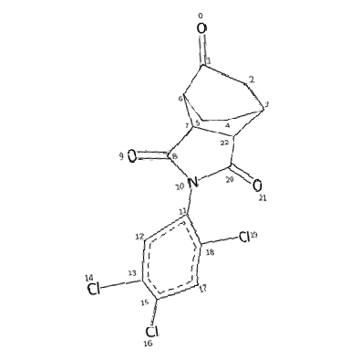 O=C1CC2CCC1C1C(=O)N(c3cc(Cl)c(Cl)cc3Cl)C(=O)C21